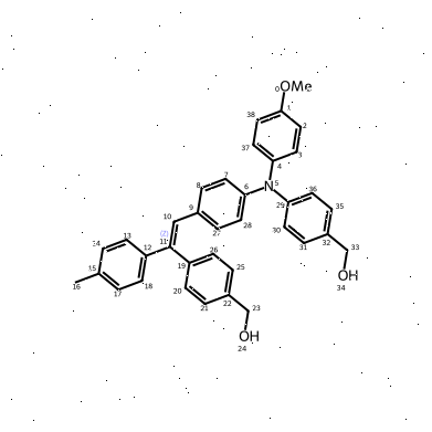 COc1ccc(N(c2ccc(/C=C(/c3ccc(C)cc3)c3ccc(CO)cc3)cc2)c2ccc(CO)cc2)cc1